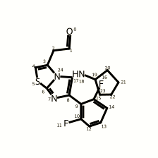 O=CCc1csc2nc(-c3c(F)cccc3F)c(NC3CCCC3)n12